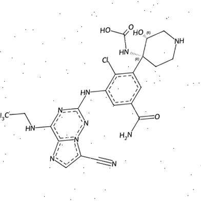 CCNc1nc(Nc2cc(C(N)=O)cc([C@]3(NC(=O)O)CCNC[C@H]3O)c2Cl)nn2c(C#N)cnc12